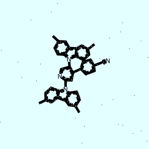 Cc1ccc2c(c1)c1cc(C)ccc1n2-c1cc(-c2ccc(C#N)cc2)c(-n2c3ccc(C)cc3c3cc(C)ccc32)cn1